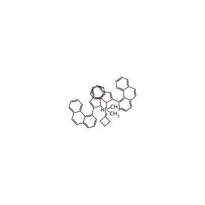 [CH3][Hf]([CH3])(=[C]1CCC1)([CH]1C(c2cccc3ccc4ccccc4c23)=Cc2ccccc21)[CH]1C(c2cccc3ccc4ccccc4c23)=Cc2ccccc21